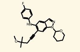 COC(C)(C)CC#Cc1cc2c(cnn2C2CCCCO2)cc1Nc1ccc(F)cc1